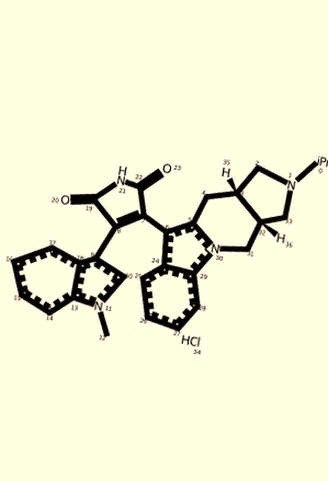 CC(C)N1C[C@H]2Cc3c(C4=C(c5cn(C)c6ccccc56)C(=O)NC4=O)c4ccccc4n3C[C@H]2C1.Cl